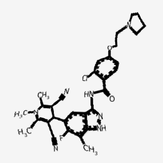 CC1=C(C#N)C(c2cc3c(NC(=O)c4ccc(OCCN5CCCC5)cc4Cl)n[nH]c3c(C)c2F)C(C#N)=C(C)N1C